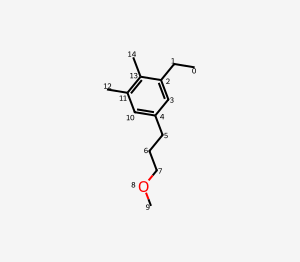 CCc1cc(CCCOC)cc(C)c1C